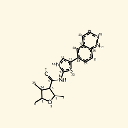 CC1OC(C)C(C(=O)Nc2ncc(-c3ccc4nnccc4c3)s2)C1C